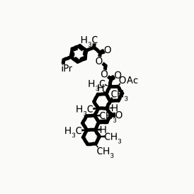 CC(=O)O[C@@H]1CC[C@@]2(C)[C@@H](CC[C@]3(C)[C@@H]2C(=O)C=C2[C@@H]4[C@@H](C)[C@H](C)CC[C@]4(C)CC[C@@]23C)[C@@]1(C)C(=O)OCOC(=O)C(C)c1ccc(CC(C)C)cc1